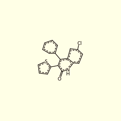 O=c1[nH]c2ccc(Cl)cc2c(-c2ccccc2)c1-c1cccs1